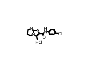 CC1=C(C(=O)Nc2ccc(Cl)cc2)SC2=NCCCN21.Cl